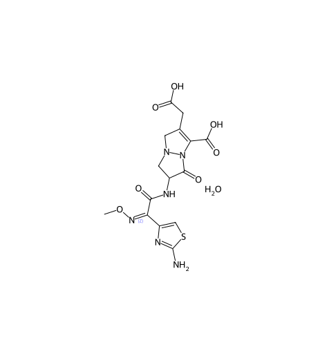 CO/N=C(\C(=O)NC1CN2CC(CC(=O)O)=C(C(=O)O)N2C1=O)c1csc(N)n1.O